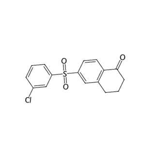 O=C1CCCc2cc(S(=O)(=O)c3cccc(Cl)c3)ccc21